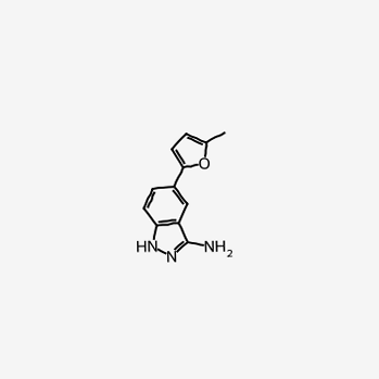 Cc1ccc(-c2ccc3[nH]nc(N)c3c2)o1